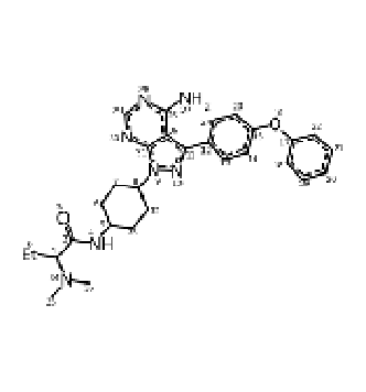 CCC(C(=O)NC1CCC(n2nc(-c3ccc(Oc4ccccc4)cc3)c3c(N)ncnc32)CC1)N(C)C